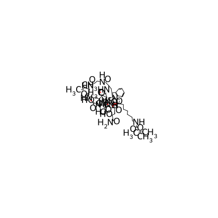 CC[C@H](C)[C@@H]1NC(=O)CNC(=O)C2Cc3c4[nH]c5cc(ccc35)OC(CCCCCCNC(=O)OC(C)(C)C)(C(=O)[C@H](CCC(N)=O)NC(=O)C(C[S+]4[O-])NC(=O)CNC1=O)N1C[C@H](O)C[C@]1(C=O)N[C@@H]([C@@H](C)[C@@H](O)CO)C(=O)N2